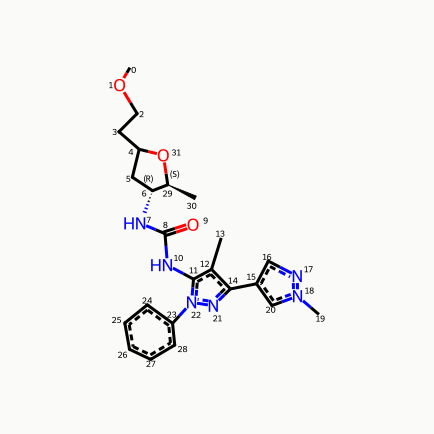 COCCC1C[C@@H](NC(=O)Nc2c(C)c(-c3cnn(C)c3)nn2-c2ccccc2)[C@H](C)O1